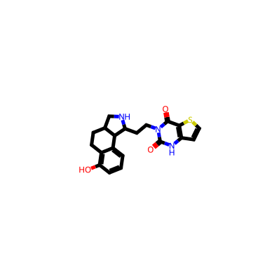 O=c1[nH]c2ccsc2c(=O)n1CCC1NCC2CCc3c(O)cccc3C21